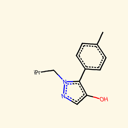 Cc1ccc(-c2c(O)cnn2CC(C)C)cc1